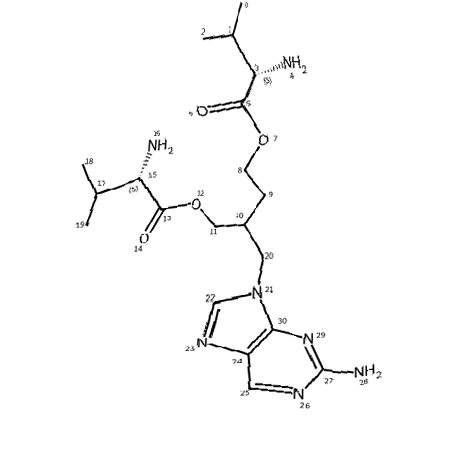 CC(C)[C@H](N)C(=O)OCCC(COC(=O)[C@@H](N)C(C)C)Cn1cnc2cnc(N)nc21